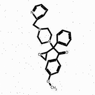 COc1ccc(C(=O)C(c2ccccc2)(C2CO2)N2CCN(Cc3ccccn3)CC2)cc1